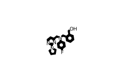 OCc1ccccc1CN(Cc1ccnc(N2CCCC2)n1)c1ccc(F)cc1